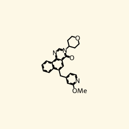 COc1cc(Cc2cc3c(=O)n(C4CCOCC4)cnc3c3ccccc23)ccn1